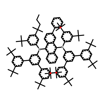 CCCC(C)(C)c1cc(N(c2cc(-c3cc(C(C)(C)C)cc(C(C)(C)C)c3)cc(-c3cc(C(C)(C)C)cc(C(C)(C)C)c3)c2)c2c3ccccc3c(N(c3cc(-c4cc(C(C)(C)C)cc(C(C)(C)C)c4)cc(-c4cc(C(C)(C)C)cc(C(C)(C)C)c4)c3)c3cc(C(C)(C)C)cc(C(C)(C)C)c3)c3cc(-c4ccccc4)ccc23)cc(C(C)(C)C)c1